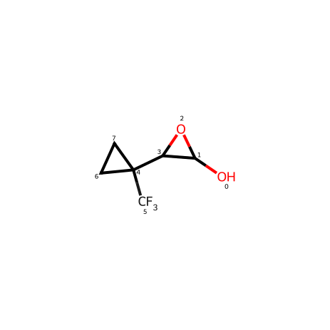 OC1OC1C1(C(F)(F)F)CC1